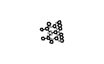 CC(C)(C)c1cc(N2c3cc(-c4nc(-c5cc(-c6ccccc6)cc(-c6ccccc6)c5)nc(-c5cc(-c6ccccc6)cc(-c6ccccc6)c5)n4)cc4c3B(c3ccc5cc6ccccc6cc5c32)c2ccc3cc5ccccc5cc3c2N4c2cc(C(C)(C)C)cc(C(C)(C)C)c2)cc(C(C)(C)C)c1